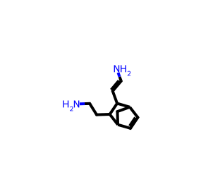 N/C=C/C1C2C=CC(C2)C1CCN